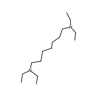 CCN(CC)CCC[CH]CCCN(CC)CC